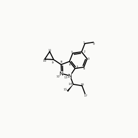 CCc1ccc2c(c1)c(C1CC1)nn2[C@H](C)CC